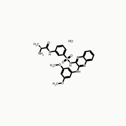 COc1cc(Nc2nc3ccccc3nc2NS(=O)(=O)c2cccc(NC(=O)[C@H](C)N)c2)cc(OC)c1.Cl